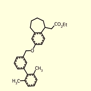 CCOC(=O)CC1CCCCc2cc(OCc3cccc(-c4c(C)cccc4C)c3)ccc21